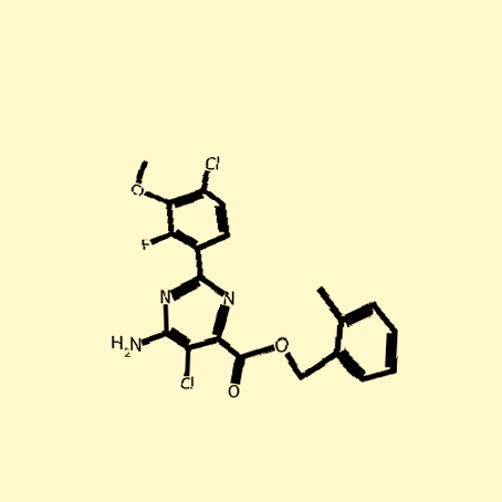 COc1c(Cl)ccc(-c2nc(N)c(Cl)c(C(=O)OCc3ccccc3C)n2)c1F